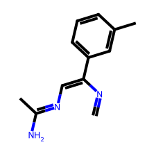 C=N/C(=C\N=C(/C)N)c1cccc(C)c1